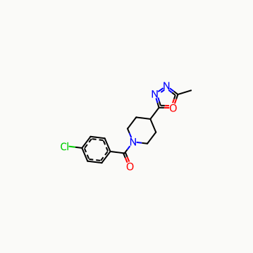 Cc1nnc(C2CCN(C(=O)c3ccc(Cl)cc3)CC2)o1